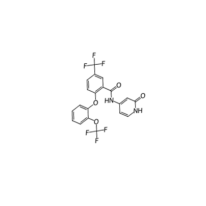 O=C(Nc1cc[nH]c(=O)c1)c1cc(C(F)(F)F)ccc1Oc1ccccc1OC(F)(F)F